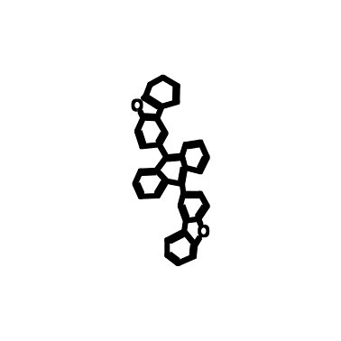 C1=Cc2c(oc3ccc(-c4c5ccccc5c(-c5ccc6oc7ccccc7c6c5)c5ccccc45)cc23)CC1